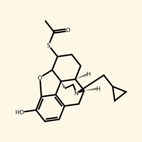 CC(=O)SC1CC[C@H]2[C@H]3Cc4ccc(O)c5c4[C@@]2(CCN3CC2CC2)C1O5